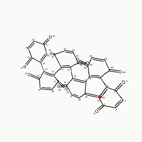 O=C1C=CC(=O)C(C2=C(C3=C(C4=C(C5=C(C6=CC(=O)C=CC6=O)C(=O)C=CC5=O)C(=O)C=CC4=O)C(=O)C=CC3=O)C(=O)C=CC2=O)=C1